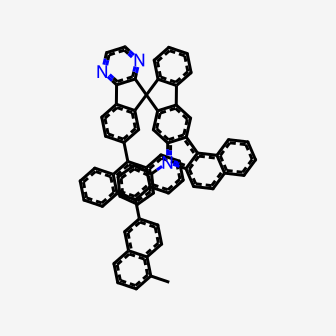 Cc1cccc2cc(-c3c4ccccc4c(-c4ccc5c(c4)C4(c6ccccc6-c6cc7c8c9ccccc9ccc8n(-c8ccccc8)c7cc64)c4nccnc4-5)c4ccccc34)ccc12